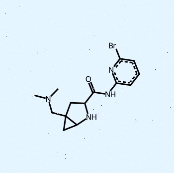 CN(C)CC12CC(C(=O)Nc3cccc(Br)n3)NC1C2